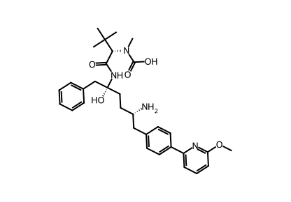 COc1cccc(-c2ccc(C[C@@H](N)CC[C@@](O)(Cc3ccccc3)NC(=O)[C@@H](N(C)C(=O)O)C(C)(C)C)cc2)n1